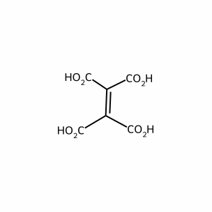 O=C(O)C(C(=O)O)=C(C(=O)O)C(=O)O